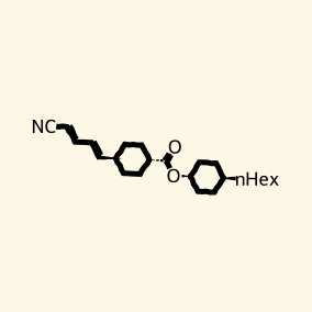 CCCCCC[C@H]1CC[C@H](OC(=O)[C@H]2CC[C@H](C=CC=CC#N)CC2)CC1